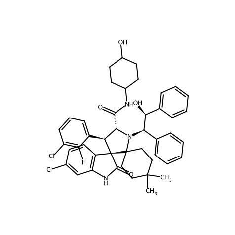 CC1(C)CCC2(CC1)N([C@H](c1ccccc1)[C@@H](O)c1ccccc1)[C@@H](C(=O)NC1CCC(O)CC1)[C@H](c1cccc(Cl)c1F)[C@@]21C(=O)Nc2cc(Cl)ccc21